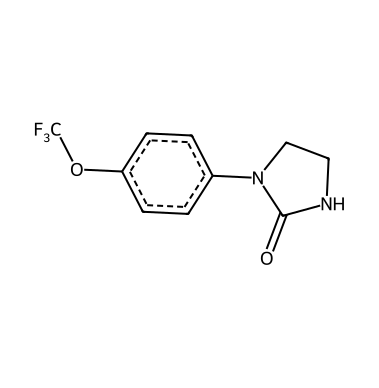 O=C1NCCN1c1ccc(OC(F)(F)F)cc1